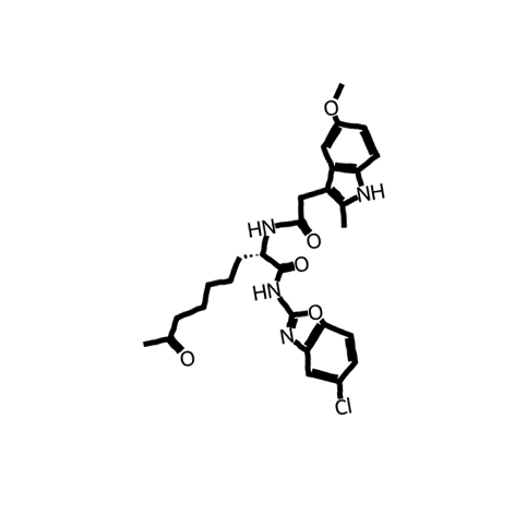 COc1ccc2[nH]c(C)c(CC(=O)N[C@@H](CCCCCC(C)=O)C(=O)Nc3nc4cc(Cl)ccc4o3)c2c1